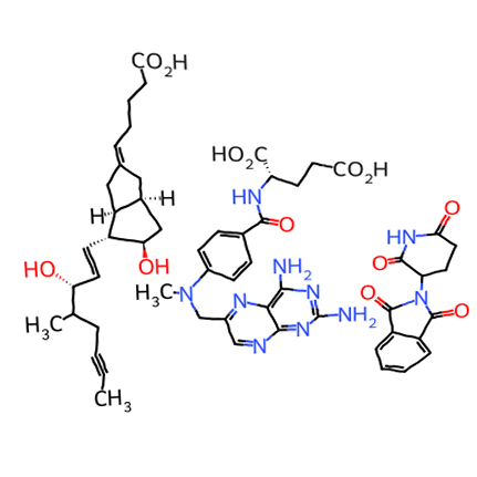 CC#CCC(C)[C@H](O)/C=C/[C@@H]1[C@H]2C/C(=C/CCCC(=O)O)C[C@H]2C[C@H]1O.CN(Cc1cnc2nc(N)nc(N)c2n1)c1ccc(C(=O)N[C@@H](CCC(=O)O)C(=O)O)cc1.O=C1CCC(N2C(=O)c3ccccc3C2=O)C(=O)N1